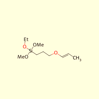 CC=COCCC[Si](OC)(OC)OCC